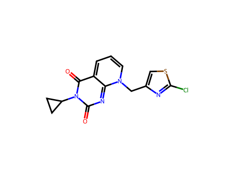 O=c1nc2n(Cc3csc(Cl)n3)cccc-2c(=O)n1C1CC1